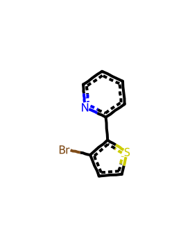 Brc1ccsc1-c1ccccn1